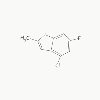 CC1=Cc2c(Cl)cc(F)cc2[CH]1